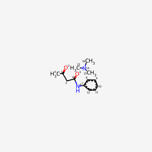 CC(=O)CC(=O)Nc1ccccc1.CN(C)C